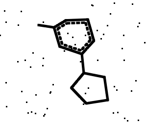 Cc1cccc(C2CCCC2)c1